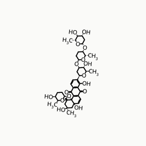 C[C@@H]1O[C@@H](O[C@@H]2C[C@H](c3ccc4c(c3O)C(=O)C3=C(C4=O)[C@@]4(O[C@H]5CC[C@H](O)[C@H](C)O5)C(=O)C[C@](C)(O)C[C@@]4(O)C=C3)O[C@H](C)[C@H]2O)CC[C@@H]1O[C@H]1C[C@@H](O)[C@H](O)[C@@H](C)O1